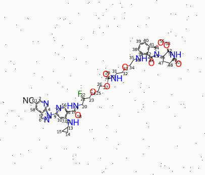 N#Cc1cnc2c(cnn2-c2cc(NC3CC3)c(C(=O)NCC(F)COCCOC(=O)NCCOCCNc3cccc4c3C(=O)N(C3CCC(=O)NC3=O)C4=O)cn2)c1